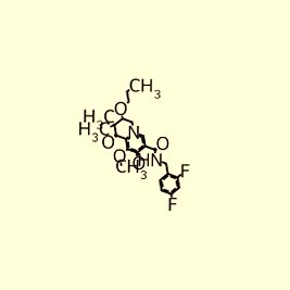 CCCO[C@H]1Cn2cc(C(=O)NCc3ccc(F)cc3F)c(=O)c(OC)c2C(=O)C1(C)C